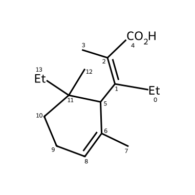 CCC(=C(C)C(=O)O)C1C(C)=CCCC1(C)CC